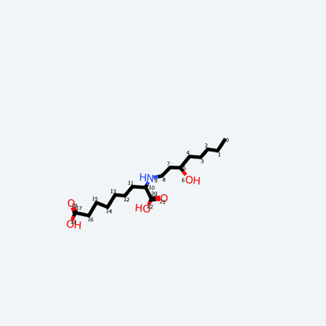 CCCCCC(O)CCNC(CCCCCCC(=O)O)C(=O)O